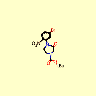 CC(C)(C)OC(=O)N1CCN(c2cc(Br)ccc2[N+](=O)[O-])C(=O)C1